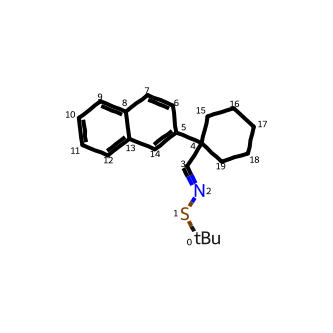 CC(C)(C)SN=CC1(c2ccc3ccccc3c2)CCCCC1